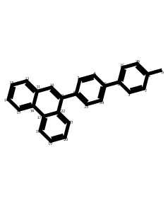 Cc1ccc(-c2ccc(-c3cc4ccccc4c4ccccc34)cc2)cc1